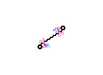 NN(C(=O)CCCCCCCCC(=O)N(N)C(=O)c1ccccc1O)C(=O)c1ccccc1O